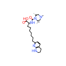 C[C@@H]1CN(C)C[C@H](C)N1C(=O)N[C@@H](CCCCCCCc1ccc2c(n1)NCCC2)C(=O)O